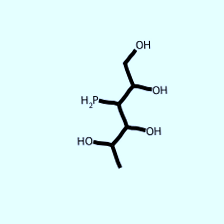 CC(O)C(O)C(P)C(O)CO